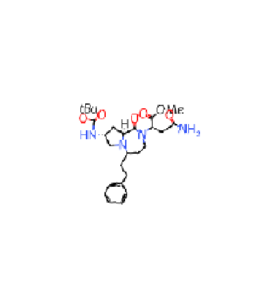 COC(=O)[C@@H](CC(N)=O)N1CCC(CCc2ccccc2)N2C[C@H](NC(=O)OC(C)(C)C)C[C@H]2C1=O